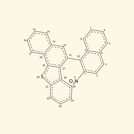 O=[N+]([O-])c1ccc2ccccc2c1-c1cc2ccccc2c2sc3ccccc3c12